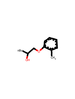 CCCCC(O)COc1ccccc1C